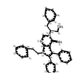 N=c1c2c(-c3ccccc3)c(-c3ccccc3)n(CCc3ccccc3)c2ncn1[C@H](CO)Cc1ccccc1